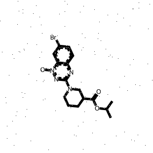 CC(C)OC(=O)C1CCCN(c2nc3ccc(Br)cc3[n+]([O-])n2)C1